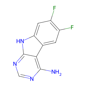 Nc1ncnc2[nH]c3cc(F)c(F)cc3c12